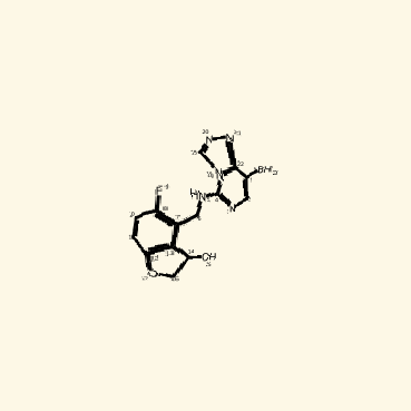 Bc1cnc(NCc2c(F)ccc3c2C(O)CO3)n2cnnc12